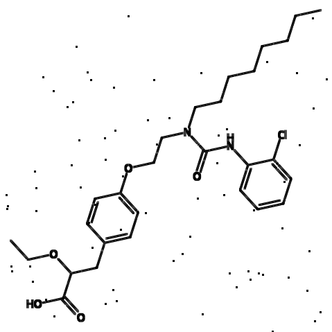 CCCCCCCCN(CCOc1ccc(CC(OCC)C(=O)O)cc1)C(=O)Nc1ccccc1Cl